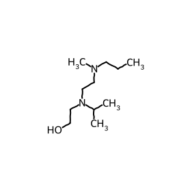 CCCN(C)CCN(CCO)C(C)C